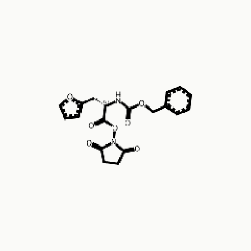 O=C(N[C@@H](Cc1ccco1)C(=O)ON1C(=O)CCC1=O)OCc1ccccc1